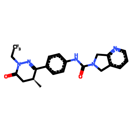 C[C@@H]1CC(=O)N(CC(F)(F)F)N=C1c1ccc(NC(=O)N2Cc3cccnc3C2)cc1